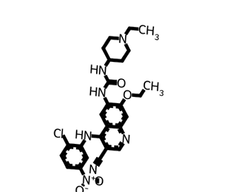 CCOc1cc2ncc(C#N)c(Nc3cc([N+](=O)[O-])ccc3Cl)c2cc1NC(=O)NC1CCN(CC)CC1